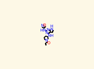 C=CC(=O)N1CCCC(Nc2nc(Nc3cnoc3)nc3[nH]ccc23)C1